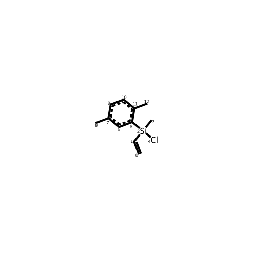 C=C[Si](C)(Cl)c1cc(C)ccc1C